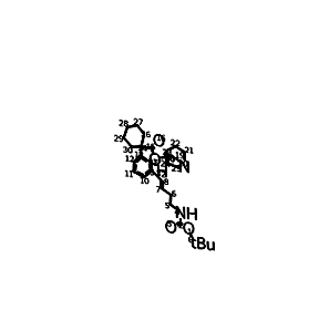 CC(C)(C)OC(=O)NCCC=Cc1cccc(C2(C(=O)O[C@H]3CN4CCC3CC4)CCCCC2)c1